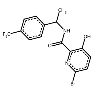 CC(NC(=O)c1nc(Br)ccc1O)c1ccc(C(F)(F)F)cc1